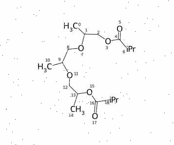 CC(COC(=O)C(C)C)OCC(C)OCC(C)OC(=O)C(C)C